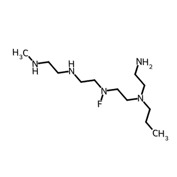 CCCN(CCN)CCN(F)CCNCCNC